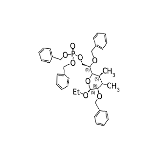 CCO[C@H]1OC([C@@H](COP(=O)(OCc2ccccc2)OCc2ccccc2)OCc2ccccc2)[C@@H](C)C(C)[C@H]1OCc1ccccc1